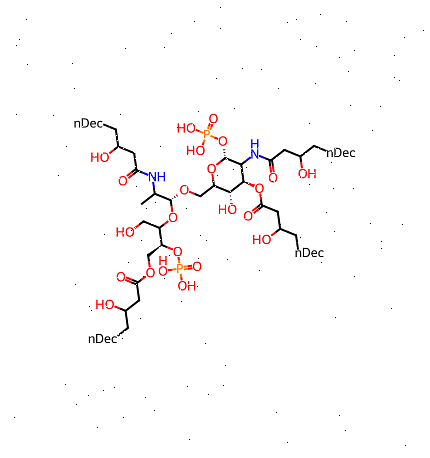 CCCCCCCCCCCC(O)CC(=O)NC(C)[C@H](OCC1O[C@H](OP(=O)(O)O)C(NC(=O)CC(O)CCCCCCCCCCC)[C@@H](OC(=O)CC(O)CCCCCCCCCCC)[C@@H]1O)OC(CO)[C@H](COC(=O)CC(O)CCCCCCCCCCC)OP(=O)(O)O